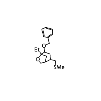 CCC12CC(CO1)C(CSC)CC2OCc1ccccc1